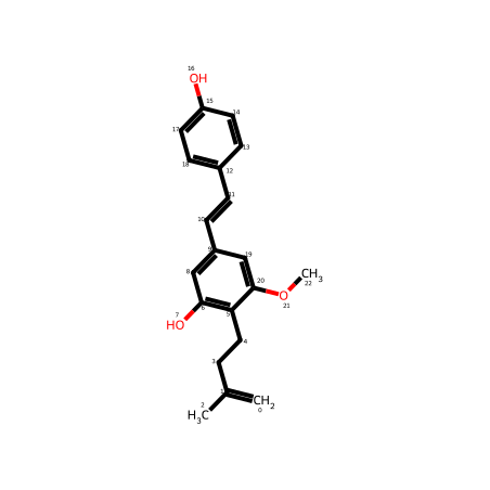 C=C(C)CCc1c(O)cc(/C=C/c2ccc(O)cc2)cc1OC